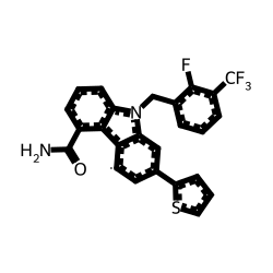 NC(=O)c1cccc2c1c1[c]cc(-c3cccs3)cc1n2Cc1cccc(C(F)(F)F)c1F